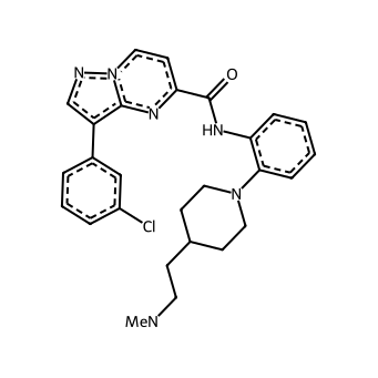 CNCCC1CCN(c2ccccc2NC(=O)c2ccn3ncc(-c4cccc(Cl)c4)c3n2)CC1